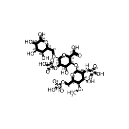 CO[C@H]1C(COS(=O)(=O)O)O[C@H](O[C@@H]2C(C(=O)O)O[C@@H](OCC3OC(O)C(O)[C@H](O)[C@@H]3O)C(OS(=O)(=O)O)[C@@H]2O)C(NS(=O)(=O)O)[C@@H]1O